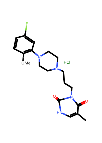 COc1ccc(F)cc1N1CCN(CCCn2c(=O)[nH]cc(C)c2=O)CC1.Cl